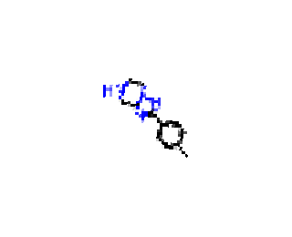 Cc1ccc(-c2nc3n(n2)CCNC3)cc1